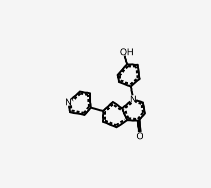 O=c1ccn(-c2ccc(O)cc2)c2cc(-c3ccncc3)ccc12